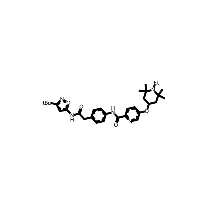 CCN1C(C)(C)CC(Oc2ccc(C(=O)Nc3ccc(CC(=O)Nc4cc(C(C)(C)C)no4)cc3)nc2)CC1(C)C